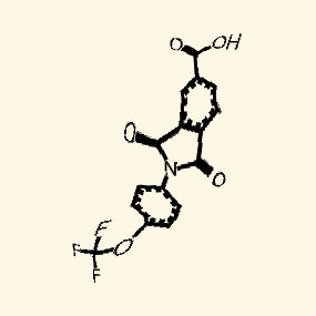 O=C(O)c1ccc2c(c1)C(=O)N(c1ccc(OC(F)(F)F)cc1)C2=O